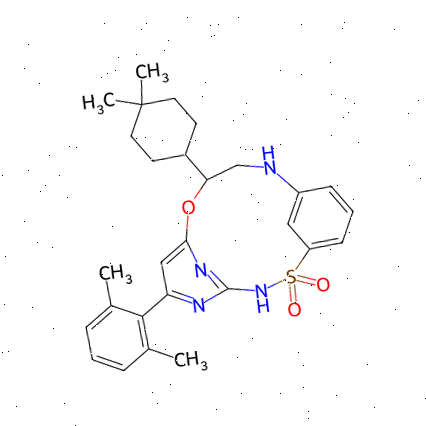 Cc1cccc(C)c1-c1cc2nc(n1)NS(=O)(=O)c1cccc(c1)NCC(C1CCC(C)(C)CC1)O2